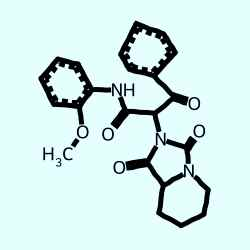 COc1ccccc1NC(=O)C(C(=O)c1ccccc1)N1C(=O)C2CCCCN2C1=O